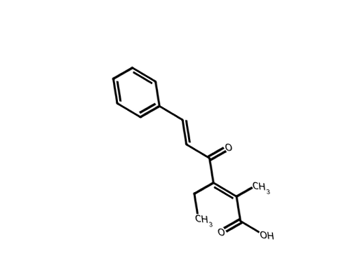 CC/C(C(=O)/C=C/c1ccccc1)=C(/C)C(=O)O